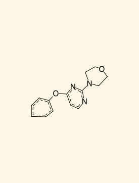 c1ccc(Oc2ccnc(N3CCOCC3)n2)cc1